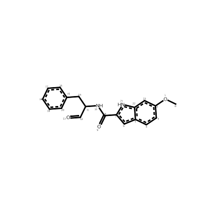 COc1ccc2cc(C(=O)NC(C=O)Cc3ccccc3)[nH]c2c1